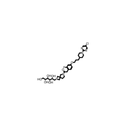 O=C(Cc1ccc(OCCCC2CCN(c3ncc(Cl)cn3)CC2)cc1F)N1CCC2(CN(C[C@H](O)[C@@H](O)[C@H](O)[C@H](O)CO)C2)C1